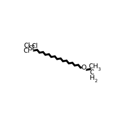 C=C(C)COCCCCCCCCCCCCCCCCC[Si](Cl)(Cl)Cl